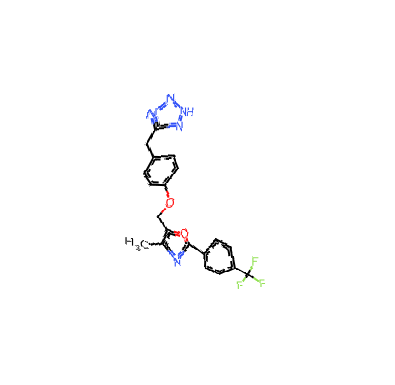 Cc1nc(-c2ccc(C(F)(F)F)cc2)oc1COc1ccc(Cc2nn[nH]n2)cc1